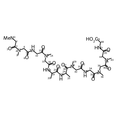 CNCC(=O)N(C)CC(=O)NCC(=O)N(C)CC(=O)NC(C)C(=O)NC(C)C(=O)N(C)CC(=O)NCC(=O)N(C)CC(=O)N(C)CC(=O)NCC(=O)O